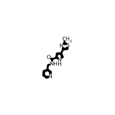 Cc1nc(-c2c[nH]c(C(=O)NCc3cccnc3)c2)cs1